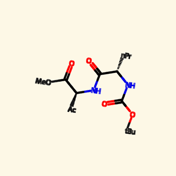 CCC[C@H](NC(=O)OC(C)(C)C)C(=O)N[C@@H](C(C)=O)C(=O)OC